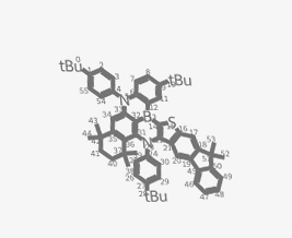 CC(C)(C)c1ccc(N2c3ccc(C(C)(C)C)cc3B3c4sc5cc6c(cc5c4N(c4ccc(C(C)(C)C)cc4)c4c3c2cc2c4C(C)(C)CCC2(C)C)-c2ccccc2C6(C)C)cc1